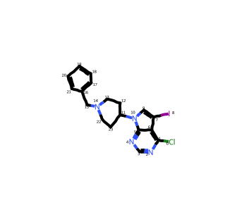 Clc1ncnc2c1c(I)cn2C1CCN(Cc2ccccc2)CC1